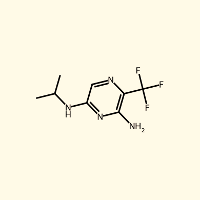 CC(C)Nc1cnc(C(F)(F)F)c(N)n1